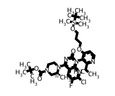 CC(C)c1nccc(OCCCO[Si](C)(C)C(C)(C)C)c1-n1c(=O)nc(N2CCN(C(=O)OC(C)(C)C)C[C@@H]2C)c2cc(F)c(Cl)nc21